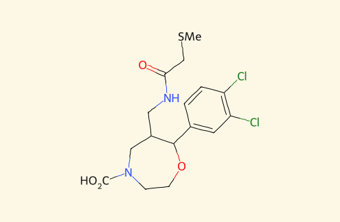 CSCC(=O)NCC1CN(C(=O)O)CCOC1c1ccc(Cl)c(Cl)c1